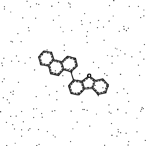 c1ccc2c(c1)ccc1c(-c3cccc4c3oc3ccccc34)cccc12